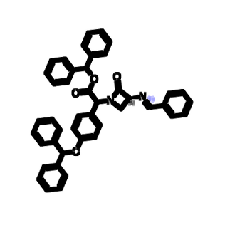 O=C(OC(c1ccccc1)c1ccccc1)C(c1ccc(OC(c2ccccc2)c2ccccc2)cc1)N1C[C@H](/N=C/c2ccccc2)C1=O